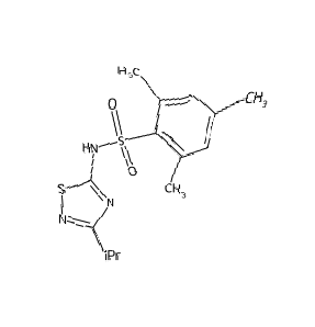 Cc1cc(C)c(S(=O)(=O)Nc2nc(C(C)C)ns2)c(C)c1